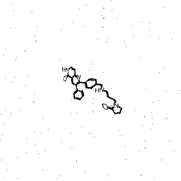 O=C1CCCN1CCCNCc1ccc(-c2nc3cc[nH]c(=O)c3cc2-c2ccccc2)cc1